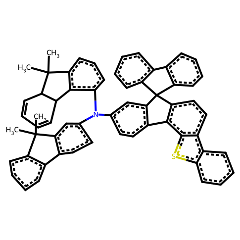 CC1(C)c2ccccc2-c2ccc(N(c3ccc4c(c3)C3(c5ccccc5-c5ccccc53)c3ccc5c(sc6ccccc65)c3-4)c3cccc4c3C3C=CC=CC3C4(C)C)cc21